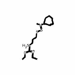 CCOC(OCC)[SiH2]CCCSSN(C)C1CCCCC1